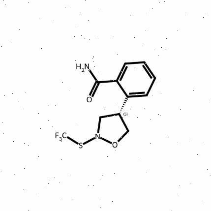 NC(=O)c1ccccc1[C@@H]1CON(SC(F)(F)F)C1